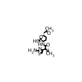 C/N=C(/C(=O)N[C@H]1CC[C@@H](CC(C)=O)OB1O)c1csc(N)n1